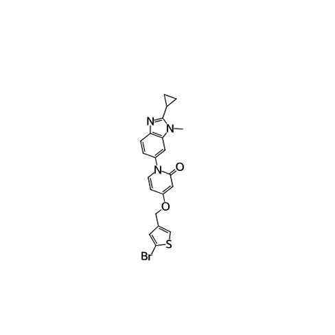 Cn1c(C2CC2)nc2ccc(-n3ccc(OCc4csc(Br)c4)cc3=O)cc21